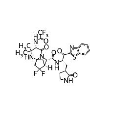 CC1(C)N[C@@]23C[C@@H]([C@@H](C(=O)N[C@@H](C[C@@H]4CCNC4=O)C(=O)c4nc5ccccc5s4)N2C(=O)[C@H]1NC(=O)C(F)(F)F)C(F)(F)C3